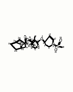 Cc1c(OC2CCN(S(C)(=O)=O)CC2)ncnc1OC1CC2CCC(C1)N2C(=O)OC(C)(C)C